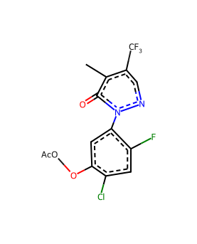 CC(=O)OOc1cc(-n2ncc(C(F)(F)F)c(C)c2=O)c(F)cc1Cl